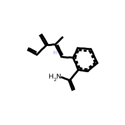 C=CC(=C)/C(C)=C/c1ccccc1C(=C)N